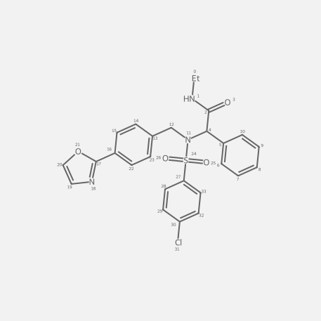 CCNC(=O)C(c1ccccc1)N(Cc1ccc(-c2ncco2)cc1)S(=O)(=O)c1ccc(Cl)cc1